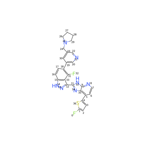 Fc1ccc(-c2ccnc3[nH]c(-c4n[nH]c5ccc(-c6cncc(CN7CCCC7)c6)c(F)c45)nc23)s1